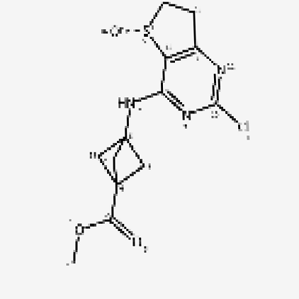 COC(=O)C12CC(Nc3nc(Cl)nc4c3[S@+]([O-])CC4)(C1)C2